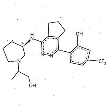 CC(CO)N1CCC[C@@H](Nc2nnc(-c3ccc(C(F)(F)F)cc3O)c3c2CCC3)C1